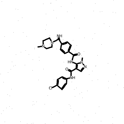 CN1CCN(C(=N)c2ccc(C(=O)Nc3c(C(=O)Nc4ccc(Cl)cc4)cnn3C)cc2)CC1